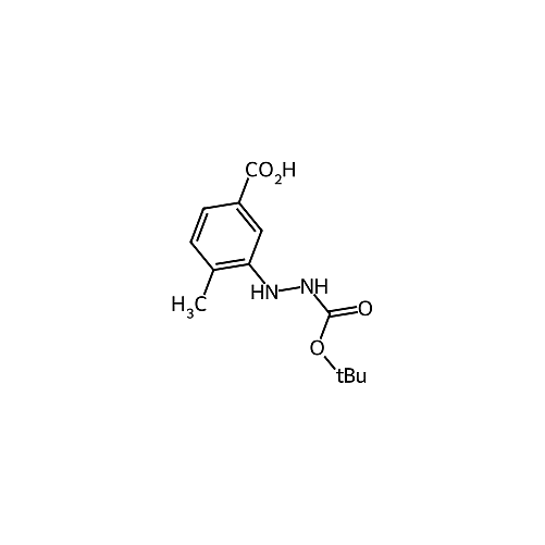 Cc1ccc(C(=O)O)cc1NNC(=O)OC(C)(C)C